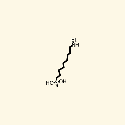 CCNCCCCCCCCC[Si](C)(O)O